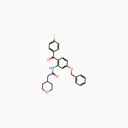 O=C(CC1CCOCC1)Nc1cc(OCc2ccccc2)ccc1C(=O)c1ccc(F)cc1